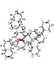 c1ccc(-c2ccc(-c3ccccc3N(c3ccc(-c4cccc5ccccc45)cc3)c3ccccc3-c3cccc4c3oc3c5ccccc5ccc43)cc2)cc1